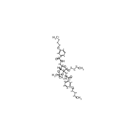 CCCCOc1cccc(C(=O)NC[C@H]2O[C@@H](OCCCC)[C@]3(CNC(=O)c4cccc(OCCCC)c4)OC(C)(C)O[C@H]23)c1